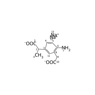 CC(C(=O)[O-])c1ccc(N)c(CC(=O)[O-])c1.[Na+].[Na+]